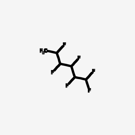 FC(F)C(F)C(F)C(F)C(F)C(F)(F)F